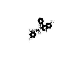 CCc1ccc2ncc(NC(=O)Nc3ccc(F)cc3F)c(-c3ccccc3)c2c1